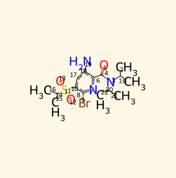 CC(C)N(C(=O)c1nc(Br)c(S(=O)(=O)C(C)C)cc1N)C(C)C